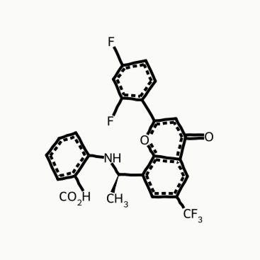 C[C@@H](Nc1ccccc1C(=O)O)c1cc(C(F)(F)F)cc2c(=O)cc(-c3ccc(F)cc3F)oc12